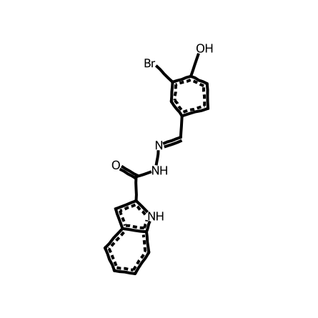 O=C(NN=Cc1ccc(O)c(Br)c1)c1cc2ccccc2[nH]1